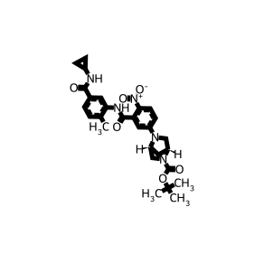 Cc1ccc(C(=O)NC2CC2)cc1NC(=O)c1cc(N2C[C@@H]3C[C@H]2CN3C(=O)OC(C)(C)C)ccc1[N+](=O)[O-]